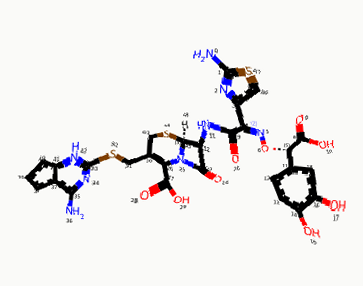 Nc1nc(/C(=N/O[C@H](C(=O)O)c2ccc(O)c(O)c2)C(=O)NC2C(=O)N3C(C(=O)O)=C(CSc4nc(N)c5cccc-5[nH]4)CS[C@@H]23)cs1